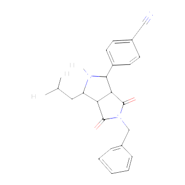 CC(C)CC1C2C(=O)N(Cc3ccccc3)C(=O)C2C(c2ccc(C#N)cc2)N1C